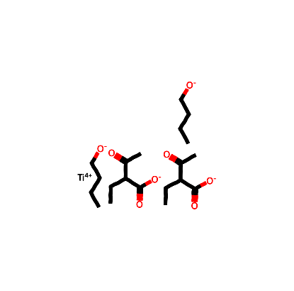 CCC(C(C)=O)C(=O)[O-].CCC(C(C)=O)C(=O)[O-].CCCC[O-].CCCC[O-].[Ti+4]